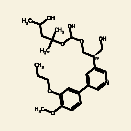 CCCOc1cc(-c2cncc([C@@H](CO)COB(O)OC(C)(C)CC(C)O)c2)ccc1OC